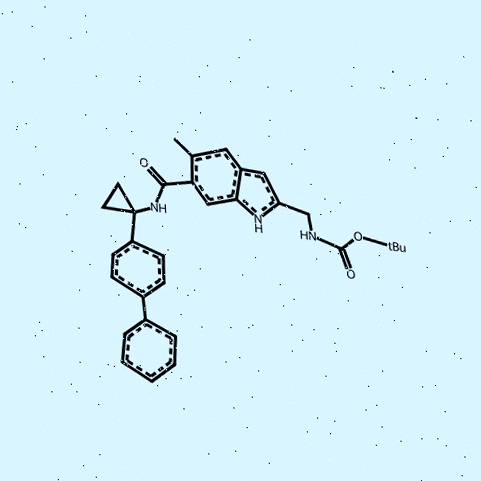 Cc1cc2cc(CNC(=O)OC(C)(C)C)[nH]c2cc1C(=O)NC1(c2ccc(-c3ccccc3)cc2)CC1